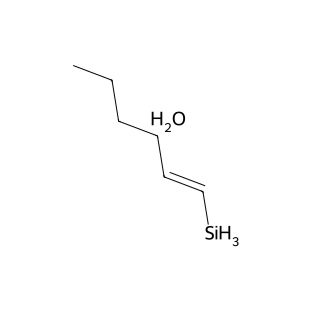 CCCCC=C[SiH3].O